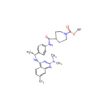 Cc1ccc2c(N[C@@H](C)c3ccc(NC(=O)C4CCN(C(=O)OC(C)(C)C)CC4)cc3)nc(N(C)C)nc2c1